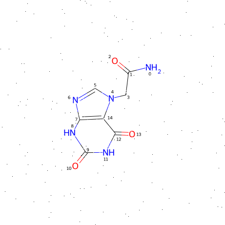 NC(=O)Cn1cnc2[nH]c(=O)[nH]c(=O)c21